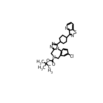 CC(C)(C)OC(=O)N1Cc2cc(Cl)ccc2-n2c(nnc2C2CCC(c3nsc4cccnc34)CC2)C1